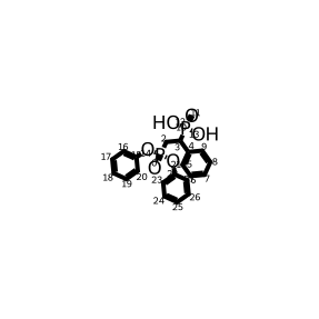 O=P(CC(c1ccccc1)P(=O)(O)O)(Oc1ccccc1)Oc1ccccc1